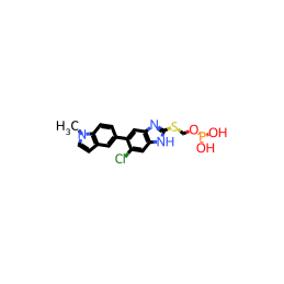 Cn1ccc2cc(-c3cc4nc(SCOP(O)O)[nH]c4cc3Cl)ccc21